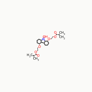 C=C(C)C(=O)OCCOc1cccc2c1c1cccc(OCCOC(=O)C(=C)C)c1n2O